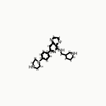 c1cnc2c(NCC3CCCNC3)nc(-c3ccc(N4CCNCC4)cc3)cc2n1